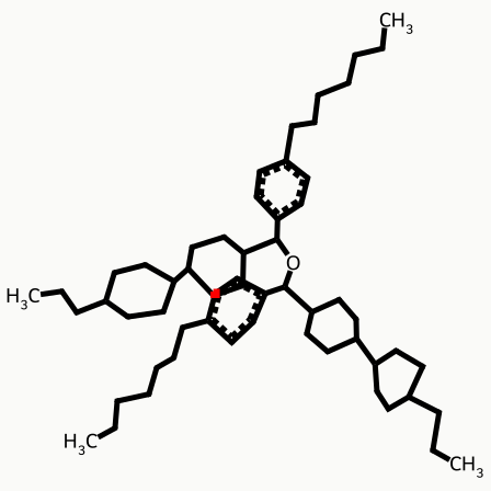 CCCCCCCc1ccc(C(OC(c2ccc(CCCCCCC)cc2)C2CCC(C3CCC(CCC)CC3)CC2)C2CCC(C3CCC(CCC)CC3)CC2)cc1